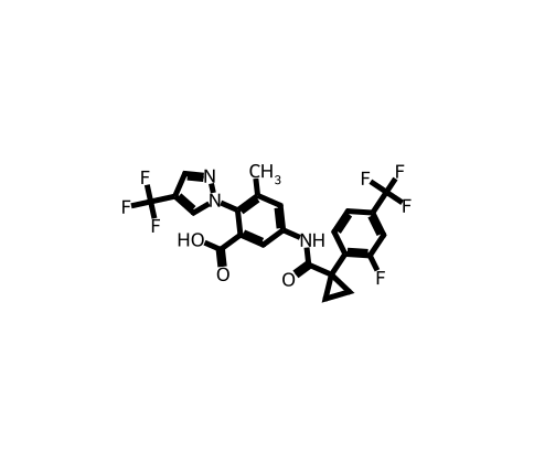 Cc1cc(NC(=O)C2(c3ccc(C(F)(F)F)cc3F)CC2)cc(C(=O)O)c1-n1cc(C(F)(F)F)cn1